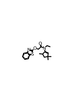 CCN(C(=O)COc1nc2ccccc2s1)C1=CC(C)(C)CC1C